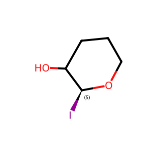 OC1CCCO[C@H]1I